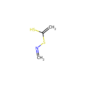 C=NSC(=C)S